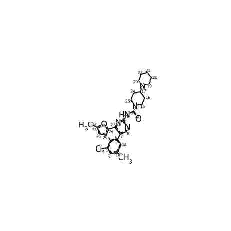 Cc1cc(Cl)cc(-c2cnc(NC(=O)N3CCC(N4CCCCC4)CC3)nc2-c2ccc(C)o2)c1